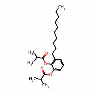 CCCCCCCCCCc1cccc(OC(=O)C(C)C)c1OC(=O)C(C)C